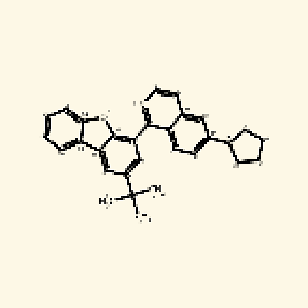 CC(C)(C)c1cc(-c2nccc3cc(C4CCCC4)ccc23)c2oc3ccccc3c2c1